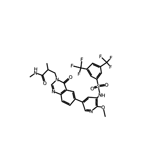 CNC(=O)C(C)Cn1cnc2ccc(-c3cnc(OC)c(NS(=O)(=O)c4cc(C(F)(F)F)cc(C(F)(F)F)c4)c3)cc2c1=O